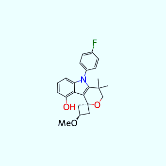 CO[C@H]1C[C@@]2(C1)OCC(C)(C)c1c2c2c(O)cccc2n1-c1ccc(F)cc1